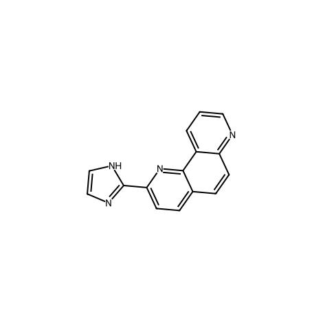 c1cnc2ccc3ccc(-c4ncc[nH]4)nc3c2c1